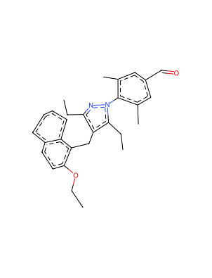 CCOc1ccc2ccccc2c1Cc1c(CC)nn(-c2c(C)cc(C=O)cc2C)c1CC